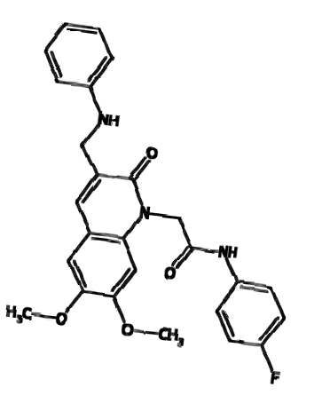 COc1cc2cc(CNc3ccccc3)c(=O)n(CC(=O)Nc3ccc(F)cc3)c2cc1OC